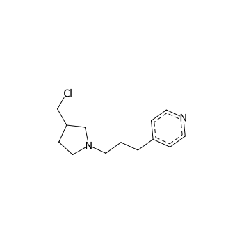 ClCC1CCN(CCCc2ccncc2)C1